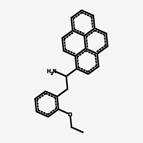 CCOc1ccccc1CC(N)c1ccc2ccc3cccc4ccc1c2c34